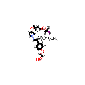 CN(O)[C@H](CN1CC[C@H](OC(C)(C)CCOC(C)(C)I)C1)c1ccc(OCCO)cc1